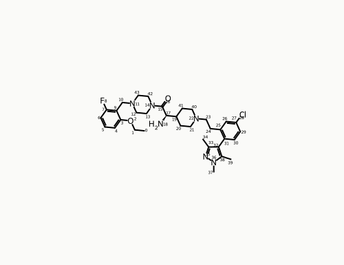 CCOc1cccc(F)c1CN1CCN(C(=O)[C@H](N)C2CCN(CCc3cc(Cl)ccc3-c3c(C)nn(C)c3C)CC2)CC1